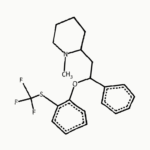 CN1CCCCC1CC(Oc1ccccc1SC(F)(F)F)c1ccccc1